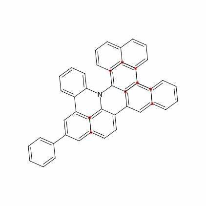 c1ccc(-c2cccc(-c3ccccc3N(c3cccc(-c4ccccc4)c3)c3ccccc3-c3cccc(-c4cccc5ccccc45)c3)c2)cc1